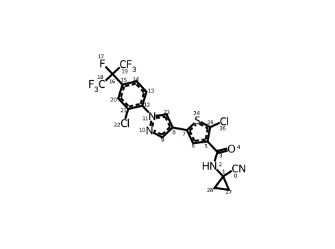 N#CC1(NC(=O)c2cc(-c3cnn(-c4ccc(C(F)(C(F)(F)F)C(F)(F)F)cc4Cl)c3)sc2Cl)CC1